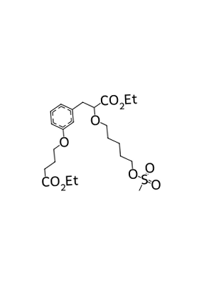 CCOC(=O)CCCOc1cccc(CC(OCCCCCOS(C)(=O)=O)C(=O)OCC)c1